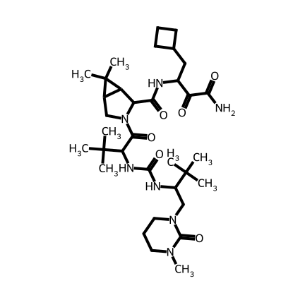 CN1CCCN(CC(NC(=O)NC(C(=O)N2CC3C(C2C(=O)NC(CC2CCC2)C(=O)C(N)=O)C3(C)C)C(C)(C)C)C(C)(C)C)C1=O